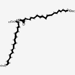 CCCCCCCCCCCCCCCCCCCCCCCCCCC(=O)NC(CCCCCCCC)CCCCCCCCCCCCCCCCCCCCCCCCC